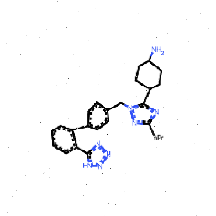 CCCc1nc(C2CCC(N)CC2)n(Cc2ccc(-c3ccccc3-c3nnn[nH]3)cc2)n1